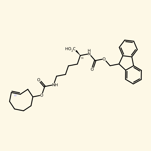 O=C(N[C@@H](CCCCNC(=O)OC1C/C=C/CCCC1)C(=O)O)OCC1c2ccccc2-c2ccccc21